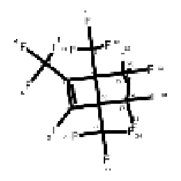 FC1=C(C(F)(F)F)C(C(F)(F)F)(C(F)(F)F)C1(C(F)(F)F)C(F)(F)F